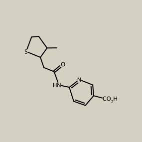 CC1CCSC1CC(=O)Nc1ccc(C(=O)O)cn1